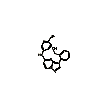 CC(C)c1ccc(Nc2ccn3ncc(-c4ccccc4CO)c3n2)cc1